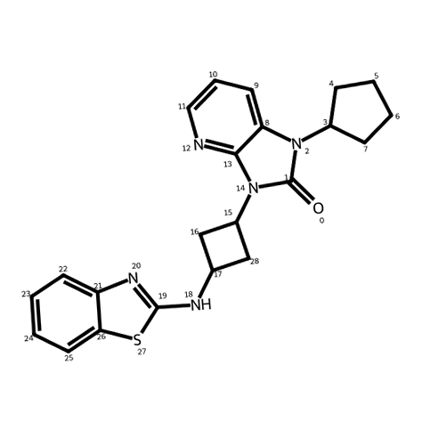 O=c1n(C2CCCC2)c2cccnc2n1C1CC(Nc2nc3ccccc3s2)C1